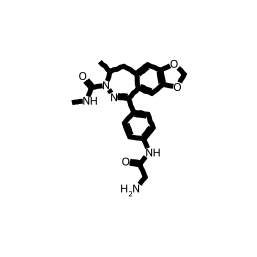 CNC(=O)N1N=C(c2ccc(NC(=O)CN)cc2)c2cc3c(cc2CC1C)OCO3